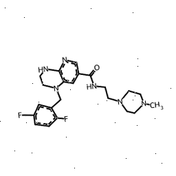 CN1CCN(CCNC(=O)c2cnc3c(c2)N(Cc2cc(F)ccc2F)CCN3)CC1